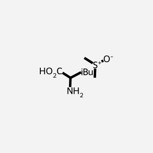 CCC(C)C(N)C(=O)O.C[S+](C)[O-]